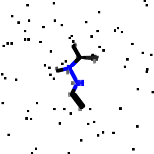 C=CNN(C)[C@@H](C)C(C)C